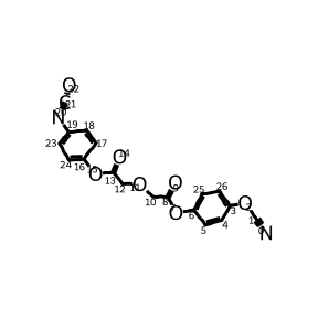 N#COc1ccc(OC(=O)COCC(=O)Oc2ccc(N=C=O)cc2)cc1